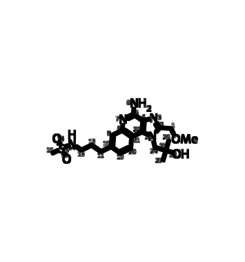 COCc1nc2c(N)nc3cc(CCCNS(C)(=O)=O)ccc3c2n1CC(C)(C)O